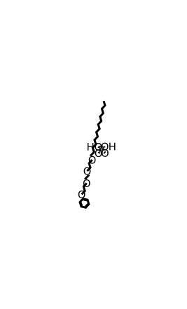 CCCCCCCCCCCCCC(COCCOCCOCCOc1ccccc1)OP(=O)(O)O